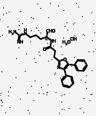 Cl.N=C(N)NCCC[C@@H](C=O)NC(=O)CCc1nc(-c2ccccc2)c(-c2ccccc2)o1.O